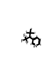 CC(C)(C)C(c1cccnc1)C(F)(F)F